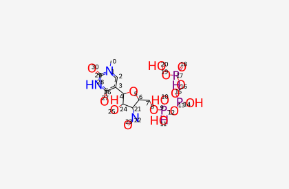 Cn1cc(C2OC(CO[PH](O)(O)OP(O)OO[PH](=O)OO)C(N=O)C2O)c(=O)[nH]c1=O